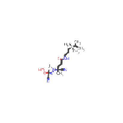 CC(C)[Si](C)(C)CCCNC(=O)CCC(C)(C#N)N=NC(C)(C#N)OO